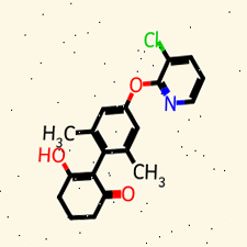 Cc1cc(Oc2ncccc2Cl)cc(C)c1C1=C(O)CCCC1=O